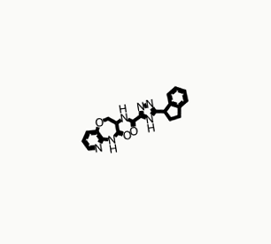 O=C(NC1COc2cccnc2NC1=O)c1nnc(C2CCc3ccccc32)[nH]1